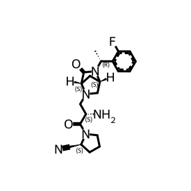 C[C@H](c1ccccc1F)N1C(=O)[C@@H]2C[C@H]1CN2C[C@H](N)C(=O)N1CCC[C@H]1C#N